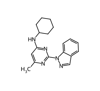 Cc1cc(NC2CCCCC2)nc(-n2ncc3ccccc32)n1